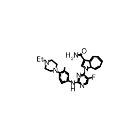 CCN1CCN(c2ccc(Nc3ncc(F)c(N4C=C(C(N)=O)C5=CC=CC=CC54)n3)cc2C)CC1